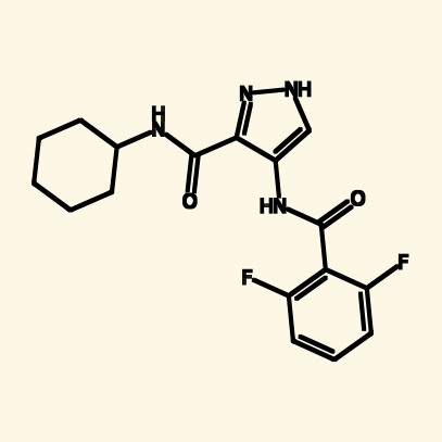 O=C(NC1CCCCC1)c1n[nH]cc1NC(=O)c1c(F)cccc1F